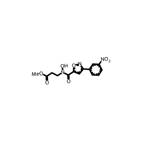 COC(=O)CCN(O)C(=O)c1cc(-c2cccc([N+](=O)[O-])c2)no1